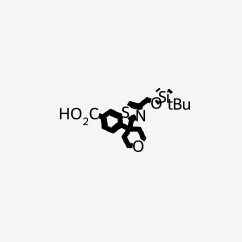 CC(C)(C)[Si](C)(C)OCc1csc(C2(c3ccc(C(=O)O)cc3)CCOCC2)n1